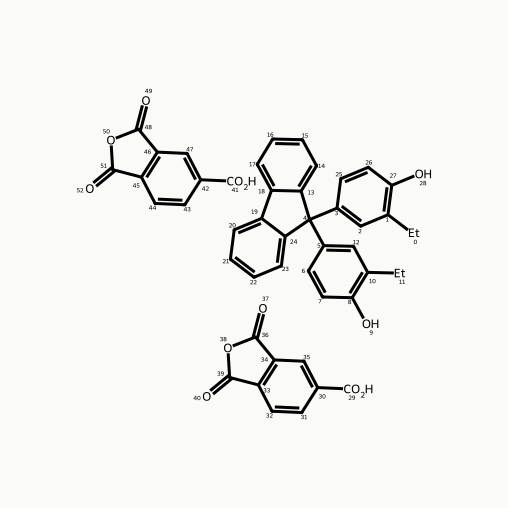 CCc1cc(C2(c3ccc(O)c(CC)c3)c3ccccc3-c3ccccc32)ccc1O.O=C(O)c1ccc2c(c1)C(=O)OC2=O.O=C(O)c1ccc2c(c1)C(=O)OC2=O